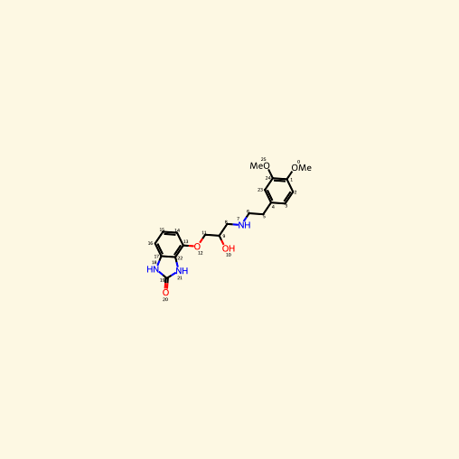 COc1ccc(CCNCC(O)COc2cccc3[nH]c(=O)[nH]c23)cc1OC